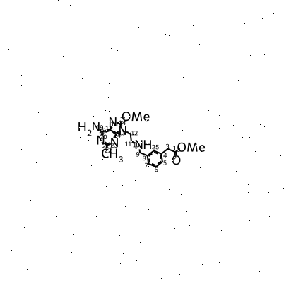 COC(=O)Cc1cccc(CNCCn2c(OC)nc3c(N)nc(C)nc32)c1